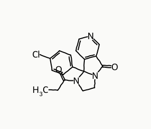 CCC(=O)N1CCN2C(=O)c3cnccc3C12c1ccc(Cl)cc1